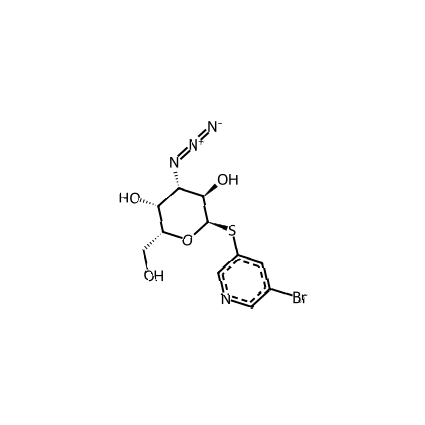 [N-]=[N+]=N[C@@H]1[C@@H](O)[C@@H](Sc2cncc(Br)c2)O[C@H](CO)[C@@H]1O